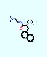 CN(C)CCNC(=O)C(Cc1cccc2ccccc12)C(=O)O